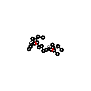 c1ccc(-c2cccc(N(c3ccc(-c4cccc5c(-c6cccc7cc8c(cc67)oc6c(-c7ccccc7N(c7cccc(-c9ccccc9)c7)c7cccc(-c9ccccc9)c7)cccc68)cccc45)cc3)c3ccccc3-c3cccc4c3oc3cc5ccccc5cc34)c2)cc1